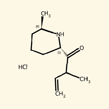 C=CC(C)C(=O)[C@@H]1CCC[C@@H](C)N1.Cl